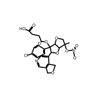 CC1(O[N+](=O)[O-])COC2C1OC(c1cncc3c1COC3)C2(OC(=O)CCC(=O)O)c1ccc(Cl)cc1